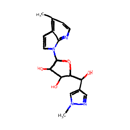 Cc1ccnc2c1ccn2C1OC(C(O)c2cnn(C)c2)C(O)C1O